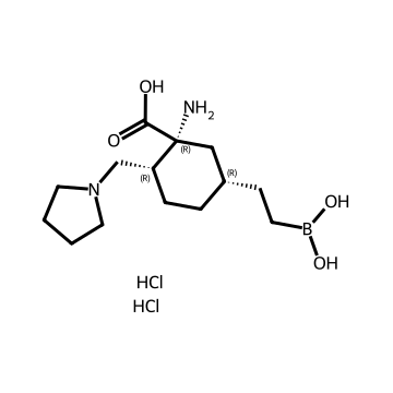 Cl.Cl.N[C@]1(C(=O)O)C[C@H](CCB(O)O)CC[C@@H]1CN1CCCC1